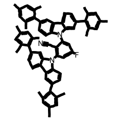 Cc1cc(C)c(-c2ccc3c(c2)c2ccc(-c4c(C)cc(C)cc4C)cc2n3-c2cc(F)cc(-n3c4ccc(-c5c(C)cc(C)cc5C)cc4c4ccc(-c5c(C)cc(C)cc5C)cc43)c2C#N)c(C)c1